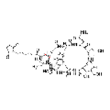 CC[C@H](C)[C@@H]1NC(=O)CNC(=O)[C@H]2Cc3c([nH]c4c(N5CCN(C(=O)CCCCCN6C(=O)C=CC6=O)CC5)c(O)ccc34)[S+]([O-])C[C@H](NC(=O)CNC1=O)C(=O)N[C@@H](CC(N)=O)C(=O)N1C[C@H](O)C[C@H]1C(=O)N[C@@H]([C@@H](C)[C@@H](O)CO)C(=O)N2